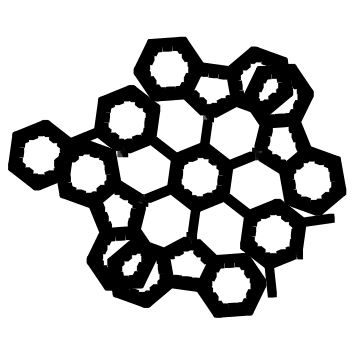 Cc1cc(-c2c(-n3c4ccccc4c4ccccc43)c(-n3c4ccccc4c4ccccc43)c(-c3cccc(-c4ccccc4)n3)c(-n3c4ccccc4c4ccccc43)c2-n2c3ccccc3c3ccccc32)cc(C)n1